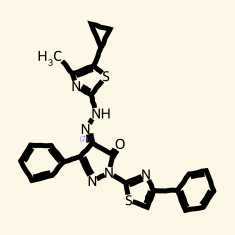 Cc1nc(N/N=C2\C(=O)N(c3nc(-c4ccccc4)cs3)N=C2c2ccccc2)sc1C1CC1